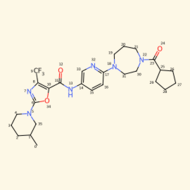 CC1CCCN(c2nc(C(F)(F)F)c(C(=O)Nc3ccc(N4CCCN(C(=O)C5CCCC5)CC4)nc3)o2)C1